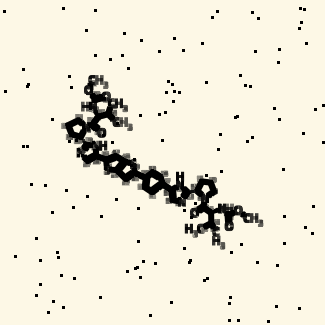 COC(=O)N[C@H](C(=O)N1CCC[C@H]1c1ncc(-c2ccc(-c3cc4sc(-c5cnc([C@@H]6CCCN6C(=O)[C@@H](NC(=O)OC)C(C)C)[nH]5)cc4s3)cc2)[nH]1)C(C)C